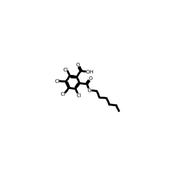 CCCCCCOC(=O)c1c(Cl)c(Cl)c(Cl)c(Cl)c1C(=O)O